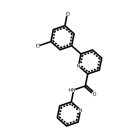 O=C(Nc1ccccn1)c1cccc(-c2cc(Cl)cc(Cl)c2)n1